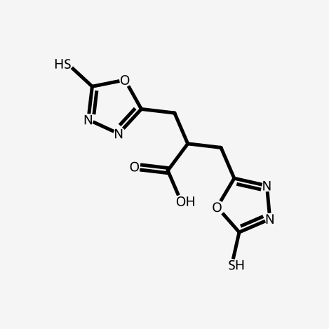 O=C(O)C(Cc1nnc(S)o1)Cc1nnc(S)o1